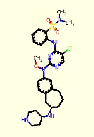 CON(c1ccc2c(c1)CCCC(NC1CCNCC1)C2)c1ncc(Cl)c(Nc2ccccc2S(=O)(=O)N(C)C)n1